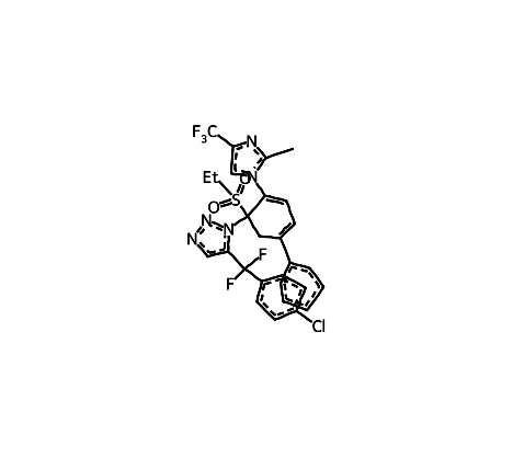 CCS(=O)(=O)C1(n2nncc2C(F)(F)c2ccc(Cl)cc2)CC(c2ccccc2)=CC=C1n1cc(C(F)(F)F)nc1C